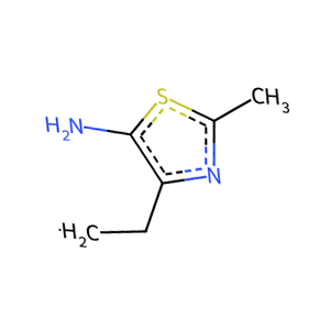 [CH2]Cc1nc(C)sc1N